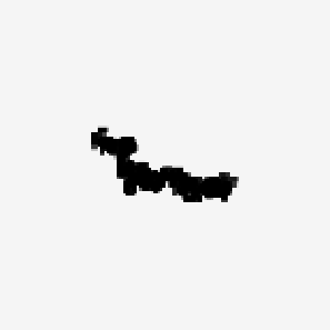 Cn1c(C(=O)N2CCN(Cc3ccccc3OCC(F)(F)F)CC2)cc2ccc(Oc3cnc(-c4nc(-c5ccc(C(F)(F)F)cc5)no4)cn3)cc21